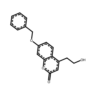 O=c1cc(CCO)c2ccc(OCc3ccccc3)cc2o1